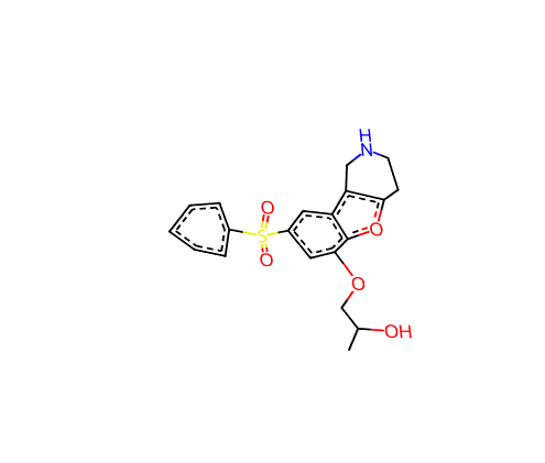 CC(O)COc1cc(S(=O)(=O)c2ccccc2)cc2c3c(oc12)CCNC3